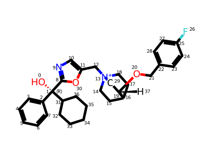 O[C@](c1ccccc1)(c1ncc(C[N+]23CCC(CC2)[C@@H](OCc2ccc(F)cc2)C3)o1)C1CCCCC1